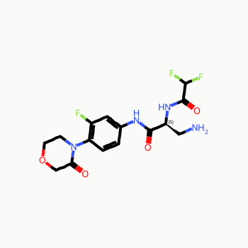 NC[C@H](NC(=O)C(F)F)C(=O)Nc1ccc(N2CCOCC2=O)c(F)c1